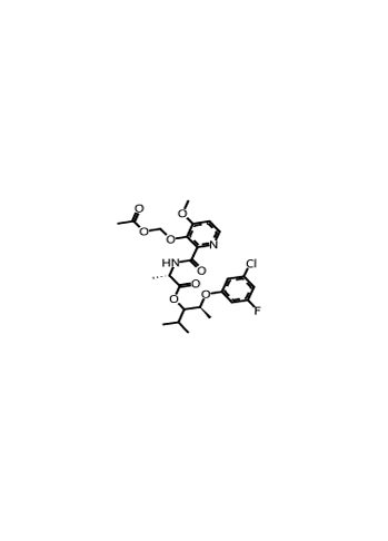 COc1ccnc(C(=O)N[C@@H](C)C(=O)OC(C(C)C)[C@H](C)Oc2cc(F)cc(Cl)c2)c1OCOC(C)=O